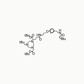 CC(C)(C)CN1CCN(CC(=O)OC(C)(C)C)CCN(C(CCC(=O)NCCCOc2ccc(CCNC(=O)OC(C)(C)C)cc2)C(=O)OC(C)(C)C)CC1